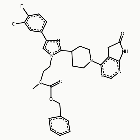 CN(CCn1cc(-c2ccc(F)c(Cl)c2)nc1C1CCN(c2ncnc3c2CC(=O)N3)CC1)C(=O)OCc1ccccc1